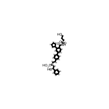 O=C(NS(=O)(=O)CCCO)c1ccc(-c2ccc(CCN(C[C@@H](O)c3ccccc3)C(=O)O)cc2)cc1C1CCCC1